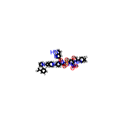 CC(C)c1ccccc1[C@@H]1CCCN1C1CC2(CCN(c3ccc(C(=O)NS(=O)(=O)c4cc5c(c([N+](=O)[O-])n4)N[C@@H](C4CCC(C)(C)CC4)CO5)c(Oc4cnc5[nH]ccc5c4)c3)CC2)C1